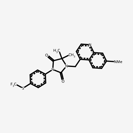 CNc1ccc2c(CN3C(=O)N(c4ccc(SC(F)(F)F)cc4)C(=O)C3(C)C)ccnc2c1